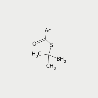 BC(C)(C)SC(=O)C(C)=O